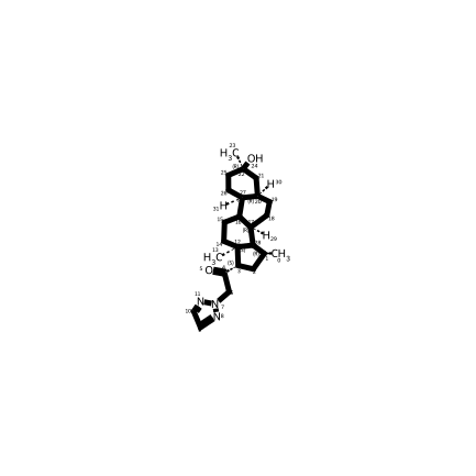 C[C@@H]1C[C@H](C(=O)Cn2nccn2)[C@@]2(C)CCC3[C@@H](CC[C@@H]4C[C@](C)(O)CC[C@H]34)C12